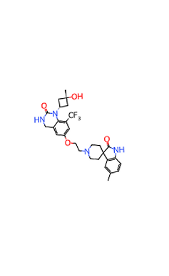 Cc1ccc2c(c1)C1(CCN(CCOc3cc4c(c(C(F)(F)F)c3)N([C@H]3C[C@@](C)(O)C3)C(=O)NC4)CC1)C(=O)N2